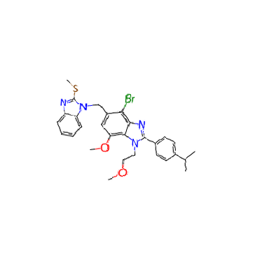 COCCn1c(-c2ccc(C(C)C)cc2)nc2c(Br)c(Cn3c(SC)nc4ccccc43)cc(OC)c21